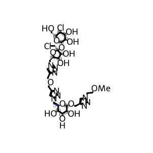 COCCn1cc(CO[C@@H]2O/C(=C\n3cc(COCc4cn(C[C@H]5O[C@@](CCl)(O[C@@H]6O[C@H](CO)[C@H](Cl)[C@H](O)[C@@H]6O)[C@@H](O)[C@@H]5O)nn4)nn3)[C@H](O)[C@H](O)[C@@H]2O)nn1